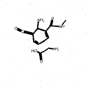 CNC(=O)C1=CC=CC(=C=O)C1N.NCC(=O)O